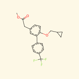 COC(=O)Cc1ccc(OCC2CC2)c(-c2ccc(C(F)(F)F)cc2)c1